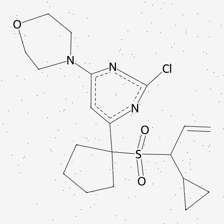 C=CC(C1CC1)S(=O)(=O)C1(c2cc(N3CCOCC3)nc(Cl)n2)CCCC1